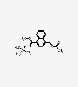 CS/C(=N\C[Si](C)(C)C)c1ccc(COC(C)=O)c2ccccc12